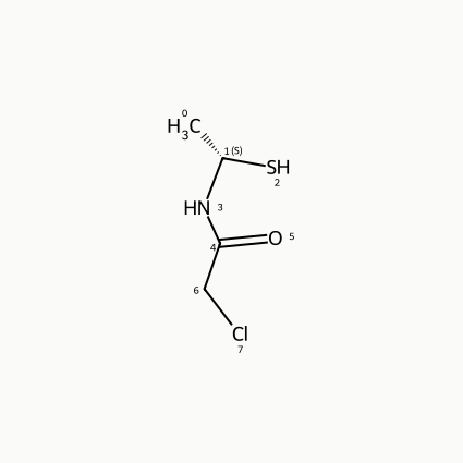 C[C@H](S)NC(=O)CCl